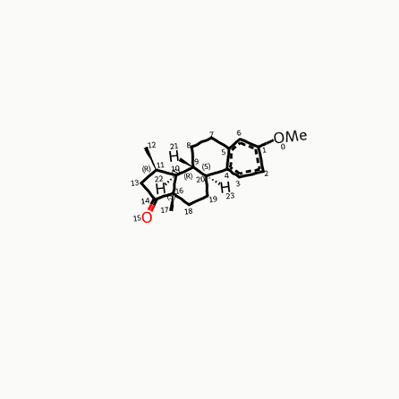 COc1ccc2c(c1)CC[C@H]1[C@@H]3[C@H](C)CC(=O)[C@@]3(C)CC[C@H]21